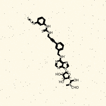 CN(C=O)C(O)[C@H]1O[C@@H](n2cnc3c(NCc4cccc(C#CCNC(=S)Nc5cccc(N=C=S)c5)c4)ncnc32)[C@H](O)[C@@H]1O